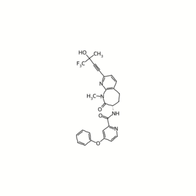 CN1C(=O)[C@@H](NC(=O)c2cc(Oc3ccccc3)ccn2)CCc2ccc(C#CC(C)(O)C(F)(F)F)nc21